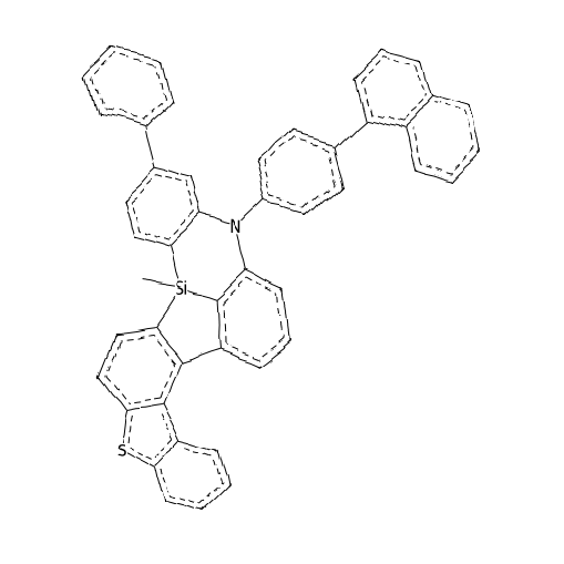 C[Si]12c3ccc(-c4ccccc4)cc3N(c3ccc(-c4cccc5ccccc45)cc3)c3cccc(c31)-c1c2ccc2sc3ccccc3c12